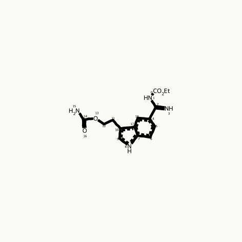 CCOC(=O)NC(=N)c1ccc2[nH]cc(CCOC(N)=O)c2c1